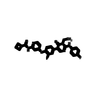 CCn1c(Nc2ccc(F)cc2)ncc(-c2ccc(Oc3ccnc(NC(=O)N4CCC4)c3)c(F)c2)c1=O